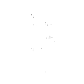 N#CC1(NC(=O)C(N)Cc2nc3ccc(Cl)cc3o2)CC1